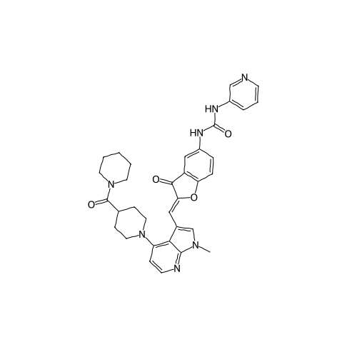 Cn1cc(C=C2Oc3ccc(NC(=O)Nc4cccnc4)cc3C2=O)c2c(N3CCC(C(=O)N4CCCCC4)CC3)ccnc21